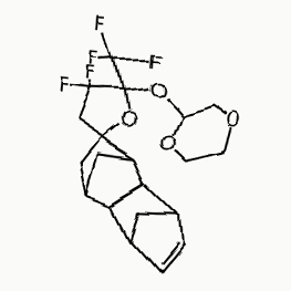 FC(F)(F)C1(OC2COCCO2)OC2(CC3CC2C2C4C=CC(C4)C32)CC1(F)F